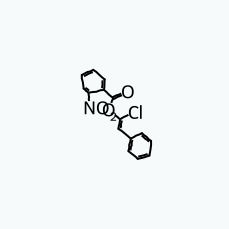 O=C(OC(Cl)=Cc1ccccc1)c1ccccc1[N+](=O)[O-]